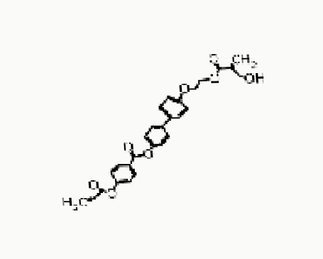 C=CC(=O)Oc1ccc(C(=O)Oc2ccc(-c3ccc(OCCOC(=O)C(=C)CO)cc3)cc2)cc1